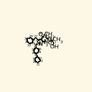 Cn1c(=NC(C)(C)CO)[nH]c2nn(Cc3ccc(-c4ccccc4)cc3)c(Cc3ccccc3)c2c1=O